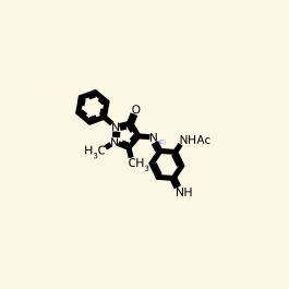 CC(=O)NC1=CC(=N)C=C/C1=N\c1c(C)n(C)n(-c2ccccc2)c1=O